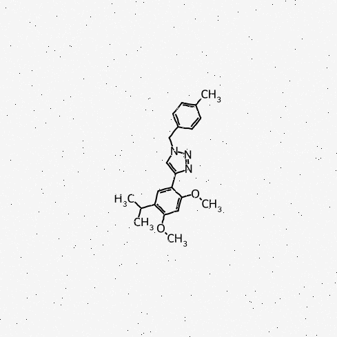 COc1cc(OC)c(C(C)C)cc1-c1cn(Cc2ccc(C)cc2)nn1